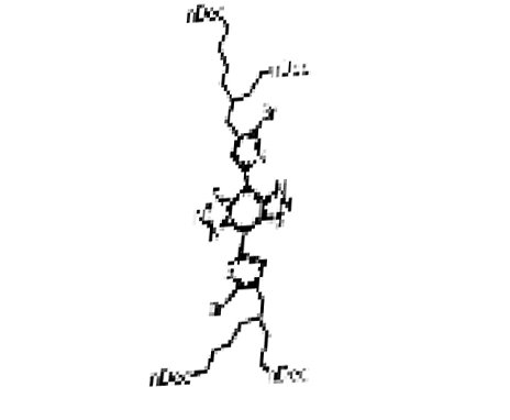 CCCCCCCCCCCCCCC(CCCCCCCCCCCC)Cc1cc(-c2c3nnsc3c(-c3cc(CC(CCCCCCCCCCCC)CCCCCCCCCCCCCC)c(Br)s3)c3nnsc23)sc1Br